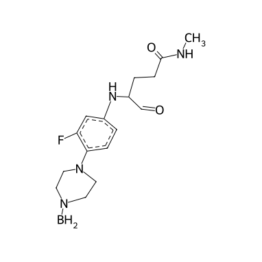 BN1CCN(c2ccc(NC(C=O)CCC(=O)NC)cc2F)CC1